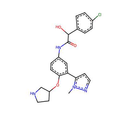 Cn1nccc1-c1cc(NC(=O)C(O)c2ccc(Cl)cc2)ccc1OC1CCNC1